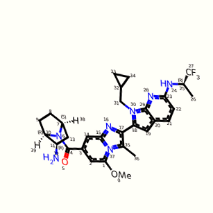 COc1cc(C(=O)N2[C@H]3CC[C@@H]2[C@H](N)C3)cc2nc(-c3cc4ccc(N[C@H](C)C(F)(F)F)nc4n3CC3CC3)c(C)n12